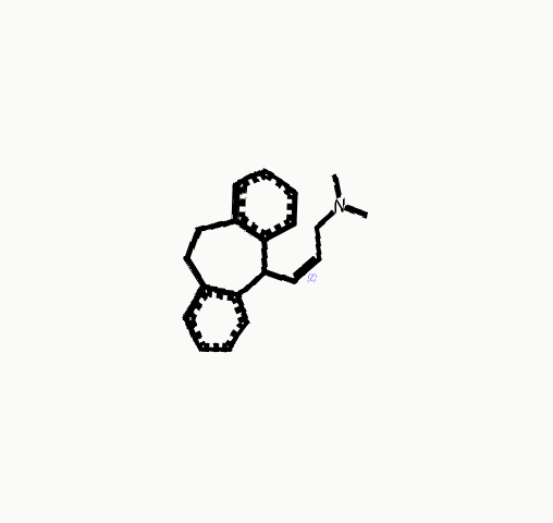 CN(C)C/C=C\C1c2ccccc2CCc2ccccc21